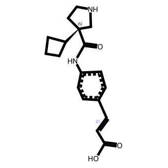 O=C(O)/C=C/c1ccc(NC(=O)[C@]2(C3CCC3)CCNC2)cc1